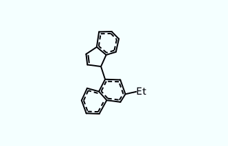 CCc1cc(C2C=Cc3ccccc32)c2ccccc2c1